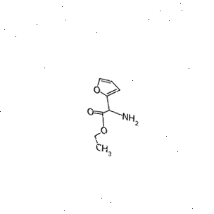 CCOC(=O)C(N)c1ccco1